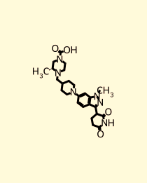 C[C@@H]1CN(C(=O)O)CCN1CC1CCN(c2ccc3c(C4CCC(=O)NC4=O)nn(C)c3c2)CC1